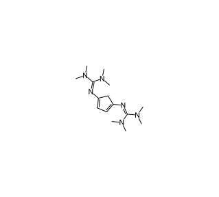 CN(C)C(=NC1=CC=C(N=C(N(C)C)N(C)C)C1)N(C)C